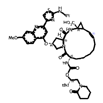 COc1ccc2c(O[C@@H]3C[C@H]4C(=O)N[C@]5(C(=O)O)CC5/C=C\CCCCC[C@H](NC(=O)O[C@H](CN5CCCCC5=O)C(C)(C)C)C(=O)N4C3)cc(-c3csc(NC(C)C)n3)nc2c1